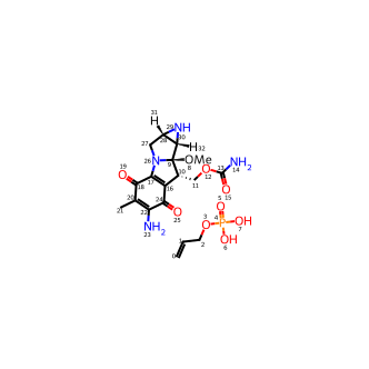 C=CCOP(=O)(O)O.CO[C@@]12[C@H](COC(N)=O)C3=C(C(=O)C(C)=C(N)C3=O)N1C[C@@H]1N[C@@H]12